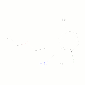 CC[C@](N)(CCOCC#N)c1cc([N+](=O)[O-])ccc1F